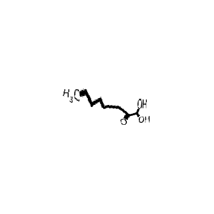 CCCCCCC(=O)C(O)O